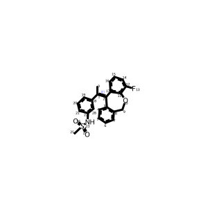 C/C(=C1/c2ccccc2COc2c(F)cccc21)c1cccc(NS(C)(=O)=O)c1